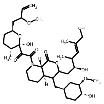 C=CC(C[C@@H]1CC[C@@H](C)[C@](O)(C(=O)C(=O)N2CCC[C@@H]3C(C[C@@H]4CC[C@@H](O)[C@H](OC)C4)C(C[C@H](O)C(C)/C=C(\C)CO)OC(=O)[C@H]32)O1)OC